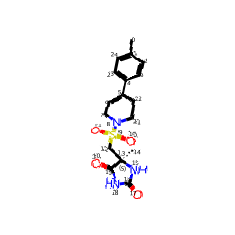 Cc1ccc(C2=CCN(S(=O)(=O)C[C@@]3(C)NC(=O)NC3=O)CC2)cc1